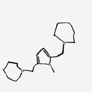 Cn1c(CN2CCCCC2)ccc1CN1CCCCC1